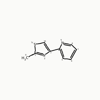 Cc1nc(-c2ccccn2)cs1